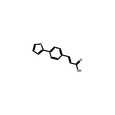 O=C(O)C=Cc1ccc(-c2cccs2)cc1